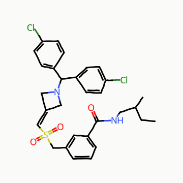 CCC(C)CNC(=O)c1cccc(CS(=O)(=O)C=C2CN(C(c3ccc(Cl)cc3)c3ccc(Cl)cc3)C2)c1